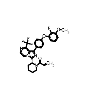 C=CC(=O)N1CCCC[C@H]1c1nc(-c2ccc(Oc3cccc(OC)c3F)cc2)c2c(C(F)(F)F)nccn12